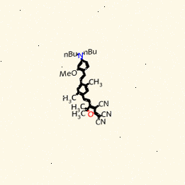 CCCCN(CCCC)c1ccc(C=Cc2cc(C)c(C=CC3=C(C#N)C(=C(C#N)C#N)OC3(C)C)cc2C)c(OC)c1